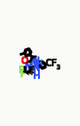 Cc1cccc(-c2cn(C)nc2C(=O)N2CC(F)(F)C[C@@H](C)[C@H]2CNc2ccc(C(F)(F)F)cn2)c1